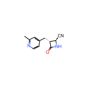 Cc1cc(C[C@H]2C(=O)N[C@@H]2C#N)ccn1